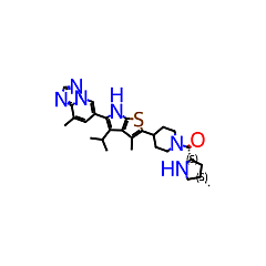 Cc1c(C2CCN(C(=O)[C@@H]3C[C@H](C)CN3)CC2)sc2[nH]c(-c3cc(C)c4ncnn4c3)c(C(C)C)c12